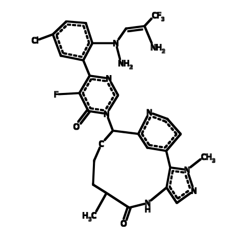 CC1CCCC(n2cnc(-c3cc(Cl)ccc3N(N)/C=C(\N)C(F)(F)F)c(F)c2=O)c2cc(ccn2)-c2c(cnn2C)NC1=O